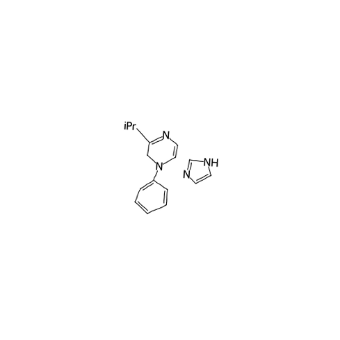 CC(C)C1=NC=CN(c2ccccc2)C1.c1c[nH]cn1